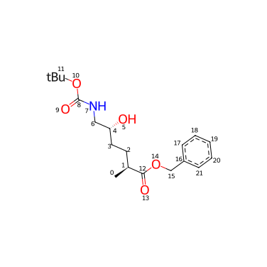 C[C@@H](CC[C@@H](O)CNC(=O)OC(C)(C)C)C(=O)OCc1ccccc1